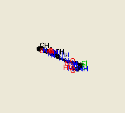 C[C@H](CC(=O)N1CCC(O)(Cn2cnc3c(-c4ccc(CNCCCNC(=O)CNC(=O)Cn5ccc(-c6cc(Cl)c(Cl)c7[nH]c8c(c67)CN(C(=O)CO)CC8)n5)cc4)n(C)nc3c2=O)CC1)c1ccccc1